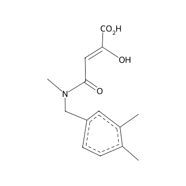 Cc1ccc(CN(C)C(=O)C=C(O)C(=O)O)cc1C